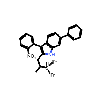 CC(C)[SiH](C(C)C)C(C)Cc1[nH]c2cc(-c3ccccc3)ccc2c1-c1ccccc1[N+](=O)[O-]